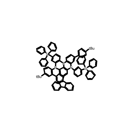 CC(C)(C)c1ccc(-c2ccc3c(c2)N(c2cccc([Si](c4ccccc4)(c4ccccc4)c4ccccc4)c2)c2cc(-n4c5ccccc5c5ccccc54)cc4c2B3c2ccc([Si](c3ccccc3)(c3ccccc3)c3ccccc3)cc2N4c2ccc(C(C)(C)C)cc2-c2ccccc2)cc1